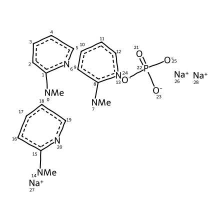 CNc1ccccn1.CNc1ccccn1.CNc1ccccn1.O=P([O-])([O-])[O-].[Na+].[Na+].[Na+]